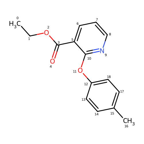 CCOC(=O)c1cccnc1Oc1ccc(C)cc1